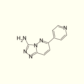 Nc1nnc2ccc(-c3ccncc3)nn12